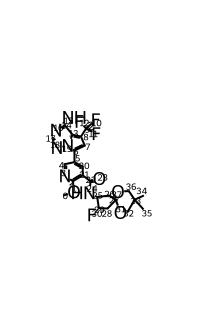 COc1ncc(-c2cc(C(F)(F)F)c3c(N)ncnn23)cc1C(=O)N[C@@H]1CC2(C[C@@H]1F)OCC(C)(C)CO2